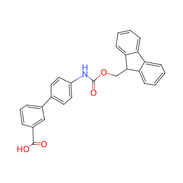 O=C(Nc1ccc(-c2cccc(C(=O)O)c2)cc1)OCC1c2ccccc2-c2ccccc21